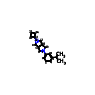 CC(C)c1cccc(N2CC3CN(C4CCC4)CC3C2)c1